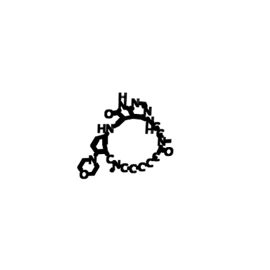 CN1CCCCCC(=O)N(C)CCNc2ncnc3c2/C(=C/Nc2ccc(N4CCOCC4)c(c2)C1)C(=O)N3